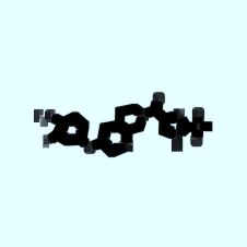 CS(=O)(=O)c1nc(C(=O)N2CCc3cc(Oc4ccc(C(F)(F)F)c(F)c4)cnc3C2)c[nH]1